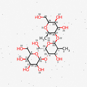 CC1C(O)[C@H](O[C@@H]2OC(CO)[C@H](O)[C@H](O)C2O)[C@H](CO)O[C@H]1O[C@@H]1C(O)[C@H](O)C(CO)O[C@@H]1C